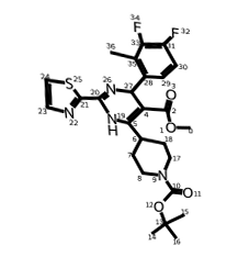 COC(=O)C1=C(C2CCN(C(=O)OC(C)(C)C)CC2)NC(c2nccs2)=NC1c1ccc(F)c(F)c1C